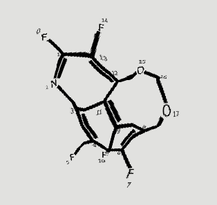 Fc1nc2c(F)c(F)c3c(F)c2c(c1F)OCO3